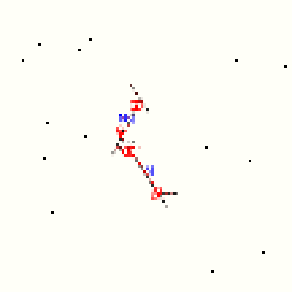 CCCCCCCCC(CCCCCC)COC(=O)CCCCCN(CCCCCC(=O)OCC(CCCCCCCC)CC(CCCC)C(CCCC)CC(CCCCCCCC)C(=O)OCCCCCCCCCC(CCCCCCCCCOC(=O)C(CCCCCC)CCCCCCCC)CN(C)C)CCN(C)C